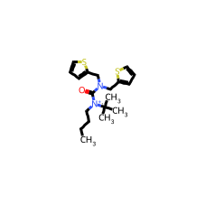 CCCC[N+](C(=O)N(Cc1cccs1)Cc1cccs1)C(C)(C)C